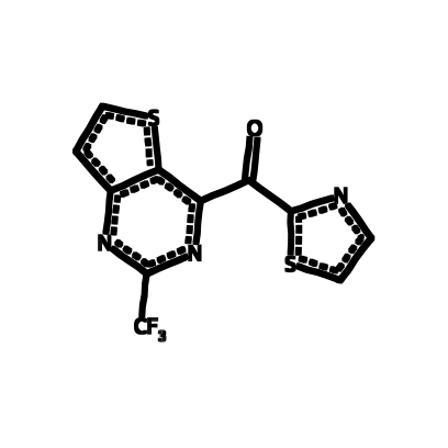 O=C(c1nccs1)c1nc(C(F)(F)F)nc2ccsc12